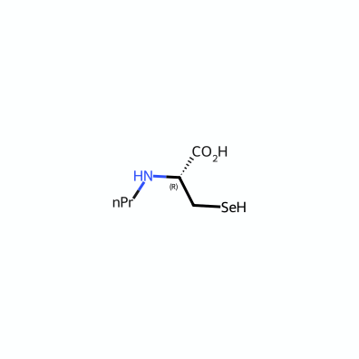 CCCN[C@@H](C[SeH])C(=O)O